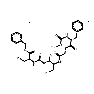 CC(C)CC(NC(=O)CC(O)C(CC(C)C)NC(=O)CCC(=O)C(Cc1ccccc1)NC(=O)OC(C)(C)C)C(=O)NCc1ccccc1